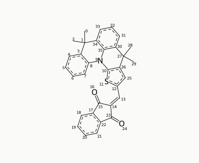 CC1(C)c2ccccc2N2c3sc(C=C4C(=O)c5ccccc5C4=O)cc3C(C)(C)c3cccc1c32